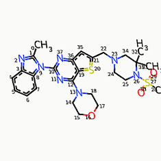 Cc1nc2ccccc2n1-c1nc(N2CCOCC2)c2sc(CN3CCN(S(C)(=O)=O)C(C)(C)C3)cc2n1